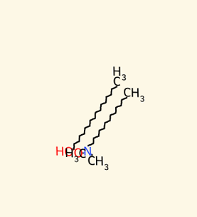 CCCCCCCCCCCCCCCCCC(=O)O.CCCCCCCCCCCCCCCN(C)CC